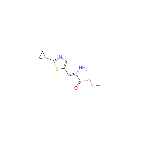 CCOC(=O)/C(N)=C/c1cnc(C2CC2)s1